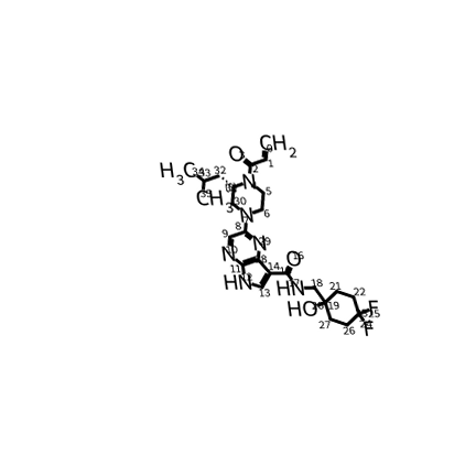 C=CC(=O)N1CCN(c2cnc3[nH]cc(C(=O)NCC4(O)CCC(F)(F)CC4)c3n2)C[C@@H]1CC(C)C